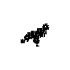 COc1nc2ccc(Br)cc2cc1C(c1ccc(Cl)cc1)C1(O)CCN(C(=O)OCc2ccccc2)C(C)C1